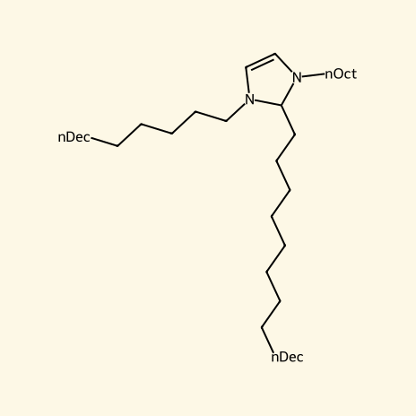 CCCCCCCCCCCCCCCCCCC1N(CCCCCCCC)C=CN1CCCCCCCCCCCCCCC